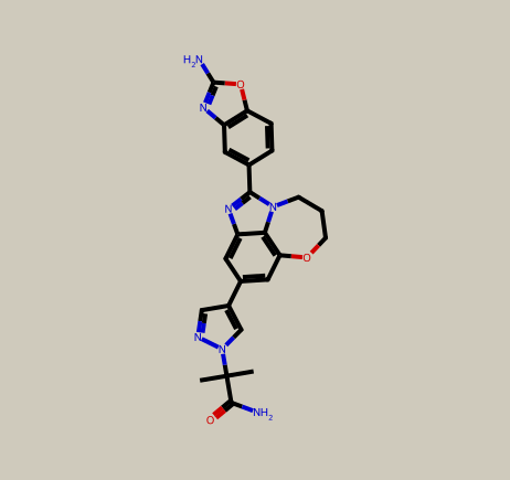 CC(C)(C(N)=O)n1cc(-c2cc3c4c(c2)nc(-c2ccc5oc(N)nc5c2)n4CCCO3)cn1